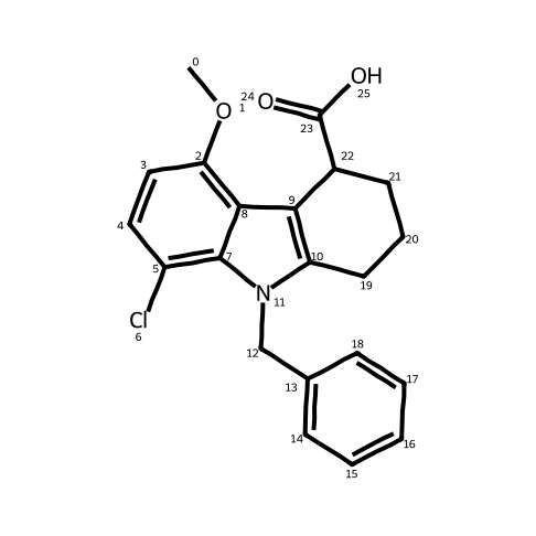 COc1ccc(Cl)c2c1c1c(n2Cc2ccccc2)CCCC1C(=O)O